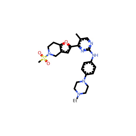 CCN1CCN(c2ccc(Nc3ncc(C)c(-c4cc5c(o4)CCN(S(C)(=O)=O)C5)n3)cc2)CC1